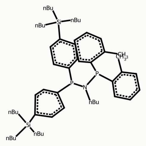 CCCCN(P(c1ccc([Si](CCCC)(CCCC)CCCC)cc1)c1ccc([Si](CCCC)(CCCC)CCCC)cc1)P(c1ccccc1C)c1ccccc1C